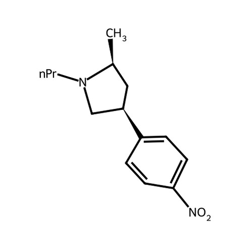 CCCN1C[C@H](c2ccc([N+](=O)[O-])cc2)C[C@@H]1C